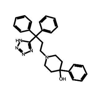 OC1(c2ccccc2)CCN(CCC(c2ccccc2)(c2ccccc2)c2nnn[nH]2)CC1